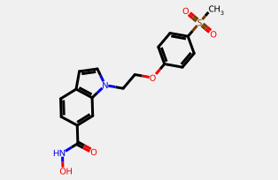 CS(=O)(=O)c1ccc(OCCn2ccc3ccc(C(=O)NO)cc32)cc1